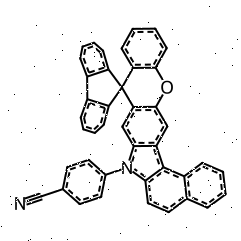 N#Cc1ccc(-n2c3cc4c(cc3c3c5ccccc5ccc32)Oc2ccccc2C42c3ccccc3-c3ccccc32)cc1